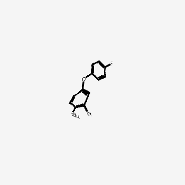 CC(C)(C)c1ccc(Oc2ccc(F)cc2)cc1Cl